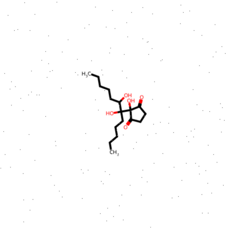 CCCCCC(O)C(O)(CCCCC)C1(O)C(=O)CCC1=O